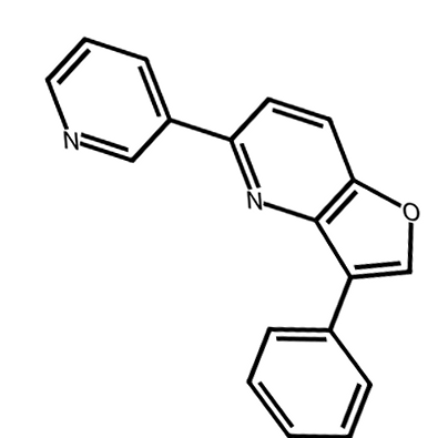 c1ccc(-c2coc3ccc(-c4cccnc4)nc23)cc1